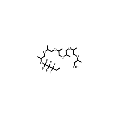 CCC(F)(F)C(F)(F)C(F)(F)OC(C)COC(C)COC(C)COC(C)COC(C)COC(C)CO